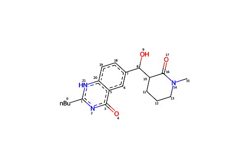 CCCCc1nc(=O)c2cc(C(O)C3CCCN(C)C3=O)ccc2[nH]1